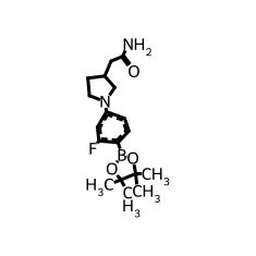 CC1(C)OB(c2ccc(N3CCC(CC(N)=O)C3)cc2F)OC1(C)C